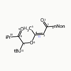 CCCCCCCCCC(=O)/C=C(\C)OC(C(=O)C(C)C)C(C)(C)C